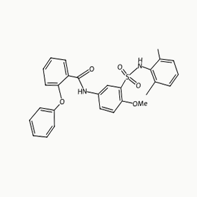 COc1ccc(NC(=O)c2ccccc2Oc2ccccc2)cc1S(=O)(=O)Nc1c(C)cccc1C